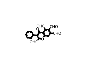 O=Cc1cc2oc(C=O)c(-c3ccccc3)c(=O)c2c(C=O)c1C=O